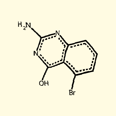 Nc1nc(O)c2c(Br)cccc2n1